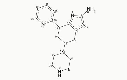 Nc1nc2c(s1)CC(N1CCNCC1)CC2c1ncccn1